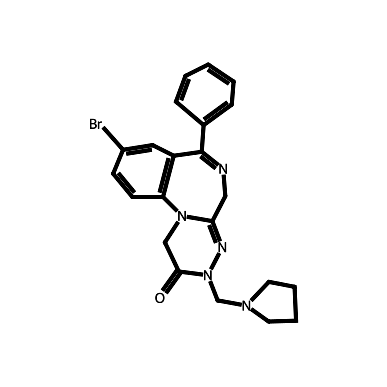 O=C1CN2C(=NN1CN1CCCC1)CN=C(c1ccccc1)c1cc(Br)ccc12